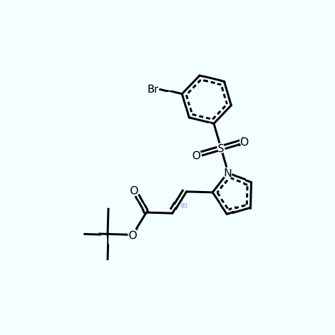 CC(C)(C)OC(=O)/C=C/c1cccn1S(=O)(=O)c1cccc(Br)c1